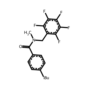 CCC(C)c1ccc(C(=O)N(C)Cc2c(F)c(F)c(F)c(F)c2F)cc1